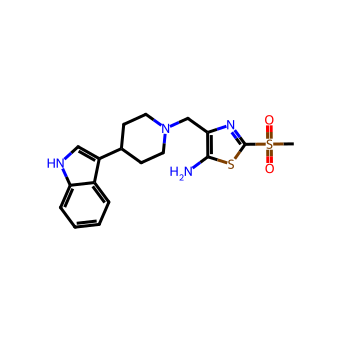 CS(=O)(=O)c1nc(CN2CCC(c3c[nH]c4ccccc34)CC2)c(N)s1